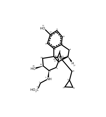 O=C(O)CN[C@@H]1C[C@@]2(O)[C@H]3Cc4ccc(O)cc4[C@@]2(CCN3CC2CC2)C[C@@H]1O